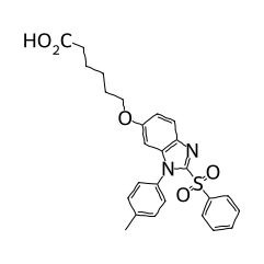 Cc1ccc(-n2c(S(=O)(=O)c3ccccc3)nc3ccc(OCCCCCC(=O)O)cc32)cc1